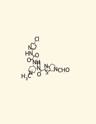 CN1CC[C@H](NC(=O)C(=O)Nc2ccc(Cl)cn2)[C@H](NC(=O)c2nc3c(s2)CN(C=O)CC3)C1